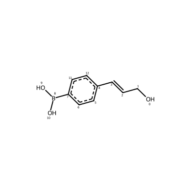 OCC=Cc1ccc(B(O)O)cc1